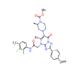 CCc1c(N2CCN(C(=O)OC(C)(C)C)[C@H](C)C2)c(=O)n2nc(C3=CCC(OC)CC3)nc2n1CC(=O)Nc1ccc(C(F)(F)F)c(F)c1C